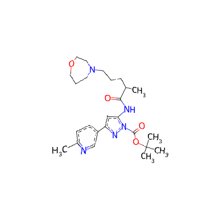 Cc1ccc(-c2cc(NC(=O)C(C)CCCN3CCCOCC3)n(C(=O)OC(C)(C)C)n2)cn1